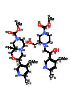 COc1cc(C(F)(F)F)ncc1C(O)CN1CCN(C(=O)OC(C)(C)C)C[C@H]1CO.COc1cc(C(F)(F)F)ncc1[C@@H]1CN2CCN(C(=O)OC(C)(C)C)C[C@H]2CO1